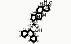 C[C@]12CCC(=O)N[C@@H]1CC[C@@H]1[C@@H]2CC[C@]2(C)[C@@H](C(=O)N[C@@H](c3ccccc3)[C@H](O)c3ccccc3)CC[C@@H]12